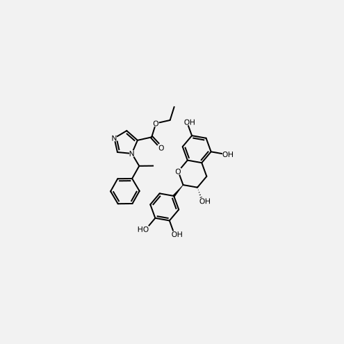 CCOC(=O)c1cncn1C(C)c1ccccc1.Oc1cc(O)c2c(c1)O[C@H](c1ccc(O)c(O)c1)[C@@H](O)C2